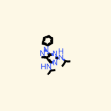 CC(C)Nc1nc(NC(C)C)c2cnn(-c3ccccc3)c2n1